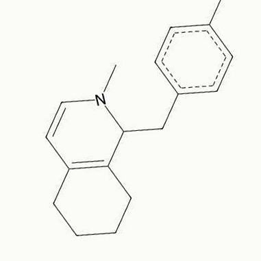 Cc1ccc(CC2C3=C(C=CN2C)CCCC3)cc1